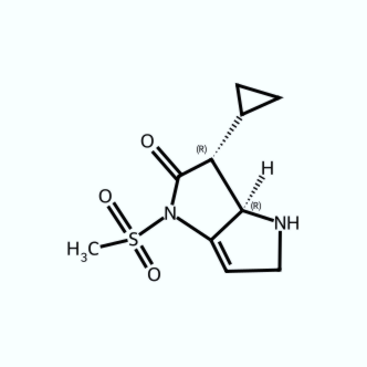 CS(=O)(=O)N1C(=O)[C@H](C2CC2)[C@H]2NCC=C21